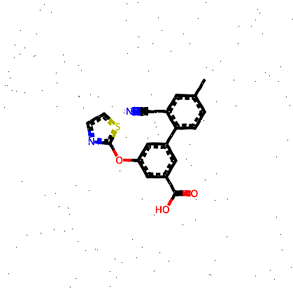 Cc1ccc(-c2cc(Oc3nccs3)cc(C(=O)O)c2)c(C#N)c1